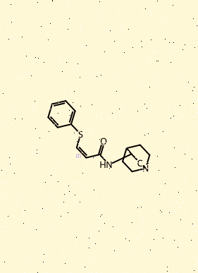 O=C(/C=C\Sc1ccccc1)NC1CN2CCC1CC2